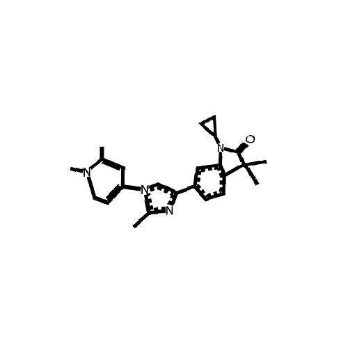 CC1=CC(n2cc(-c3ccc4c(c3)N(C3CC3)C(=O)C4(C)C)nc2C)=CCN1C